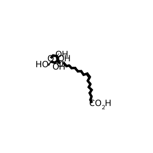 O=C(O)CCCCCCC/C=C\CCCCCCCCO[C@@]1(O)[C@H](O)[C@@H](CO)OC[C@@H]1O